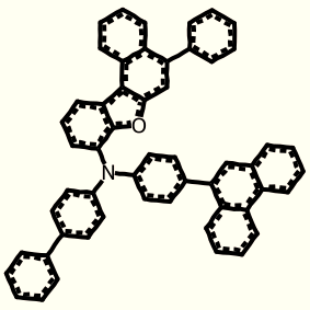 c1ccc(-c2ccc(N(c3ccc(-c4cc5ccccc5c5ccccc45)cc3)c3cccc4c3oc3cc(-c5ccccc5)c5ccccc5c34)cc2)cc1